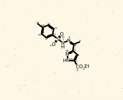 CCOC(=O)c1cc(C(C)=NNS(=O)(=O)c2ccc(C)cc2)n[nH]1